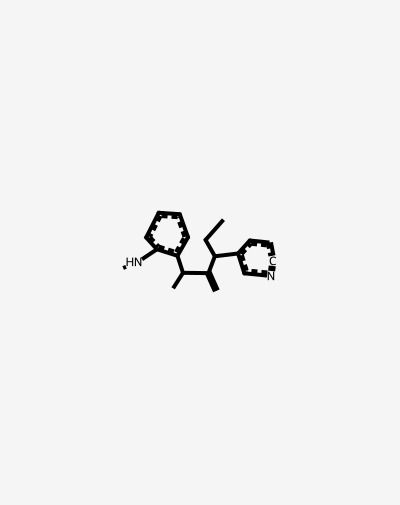 C=C(C(C)c1ccccc1NC)C(CC)c1cccnc1